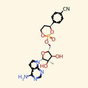 C[C@@]1(O)[C@H](O)[C@@H](CO[P@@]2(=O)OCC[C@@H](c3ccc(C#N)cc3)O2)O[C@H]1n1ccc2c(N)ncnc21